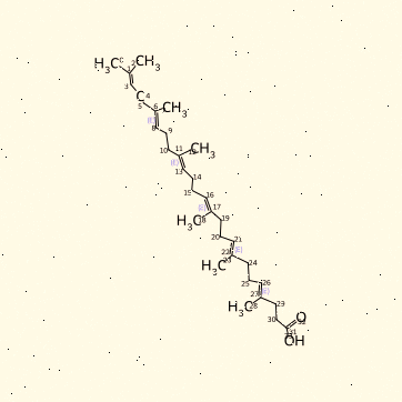 CC(C)=CCC/C(C)=C/CC/C(C)=C/CC/C=C(\C)CC/C=C(\C)CC/C=C(\C)CCC(=O)O